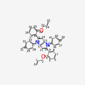 C=CCOc1ccccc1-c1cc2c(cc(-c3ccccc3OCC=C)n2-c2ccc(C)cc2)n1-c1ccc(C)cc1